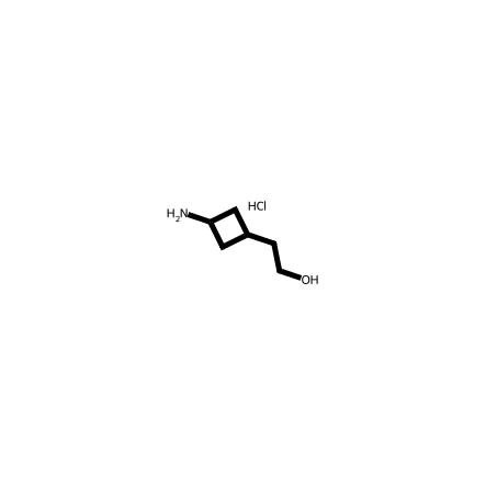 Cl.NC1CC(CCO)C1